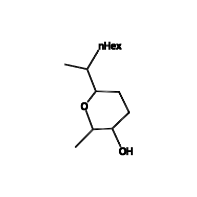 CCCCCCC(C)C1CCC(O)C(C)O1